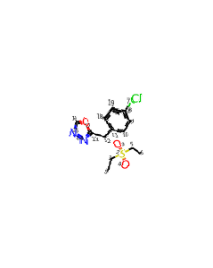 CCS(=O)(=O)CC.Clc1ccc(Cc2nnco2)cc1